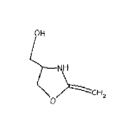 C=C1NC(CO)CO1